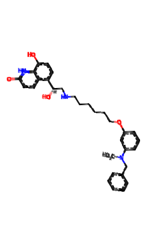 O=C(O)N(Cc1ccccc1)c1cccc(OCCCCCCNC[C@H](O)c2ccc(O)c3[nH]c(=O)ccc23)c1